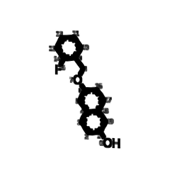 Oc1ccc2cc(OCc3ccccc3F)ccc2c1